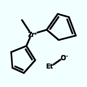 CC[O-].[CH3][Zr+]([C]1=CC=CC1)[C]1=CC=CC1